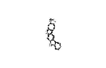 Bc1ccc2c(c1)oc1cc3oc4ccccc4c3cc12